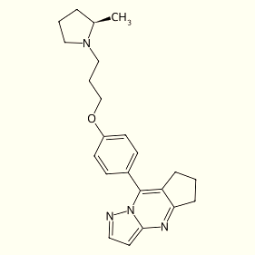 C[C@@H]1CCCN1CCCOc1ccc(-c2c3c(nc4ccnn24)CCC3)cc1